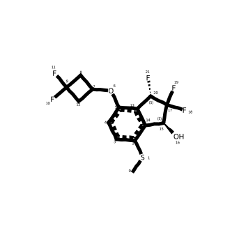 CSc1ccc(OC2CC(F)(F)C2)c2c1[C@H](O)C(F)(F)[C@H]2F